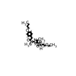 CCCCOc1ccc(CC(=O)N(C)c2nc(C)c(S(=O)(=O)NCCOCC)s2)cc1